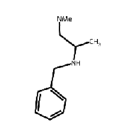 CNCC(C)NCc1ccccc1